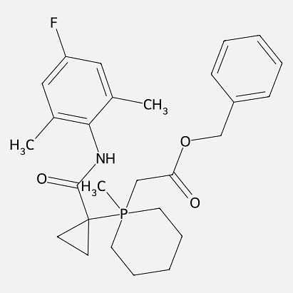 Cc1cc(F)cc(C)c1NC(=O)C1(P2(C)(CC(=O)OCc3ccccc3)CCCCC2)CC1